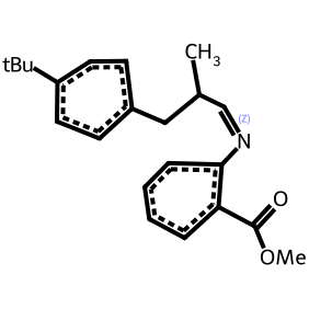 COC(=O)c1ccccc1/N=C\C(C)Cc1ccc(C(C)(C)C)cc1